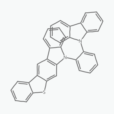 c1ccc(-n2c3ccccc3c3cc4c(cc32)sc2ccccc24)c(-n2c3ccccc3c3ccccc32)c1